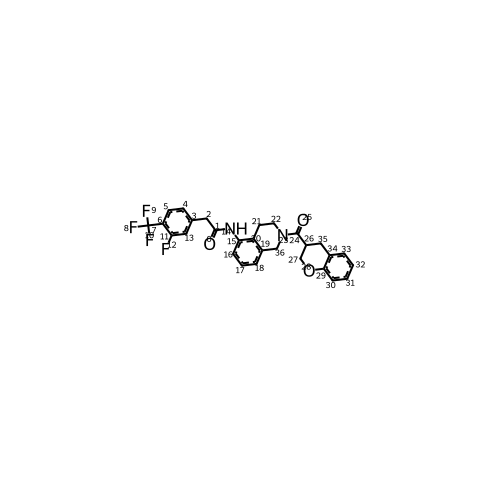 O=C(Cc1ccc(C(F)(F)F)c(F)c1)Nc1cccc2c1CCN(C(=O)C1COc3ccccc3C1)C2